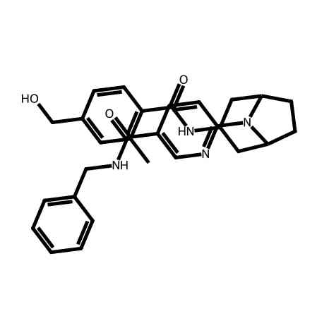 Cc1cc(CO)ccc1C(=O)NC1CC2CCC(C1)N2c1ccc(C(=O)NCc2ccccc2)cn1